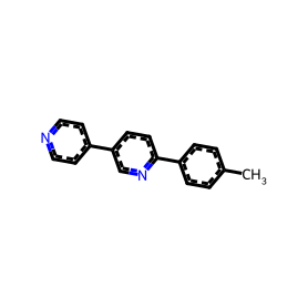 Cc1ccc(-c2ccc(-c3ccncc3)cn2)cc1